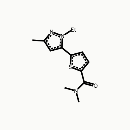 CCn1nc(C)cc1-c1ccc(C(=O)N(C)C)s1